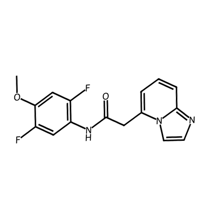 COc1cc(F)c(NC(=O)Cc2cccc3nccn23)cc1F